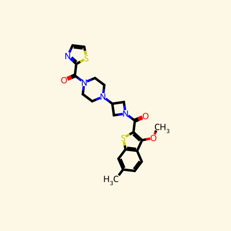 COc1c(C(=O)N2CC(N3CCN(C(=O)c4nccs4)CC3)C2)sc2cc(C)ccc12